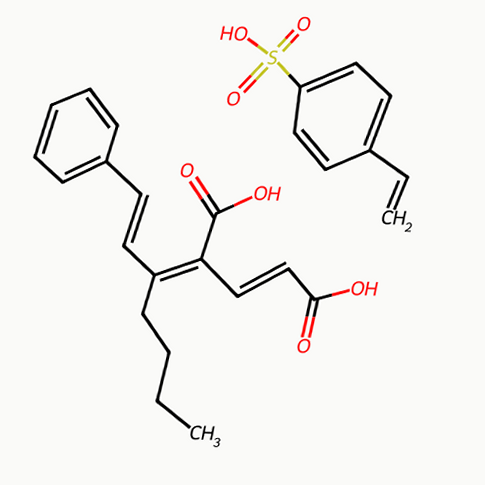 C=Cc1ccc(S(=O)(=O)O)cc1.CCCCC(C=Cc1ccccc1)=C(C=CC(=O)O)C(=O)O